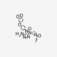 CC#CC(=O)N1CCC(n2c(=O)n(-c3ccc(Oc4ccc5c(c4)OCO5)cc3)c3c(N)ncnc32)C1